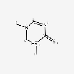 CN1C=NC(=S)[SH](C)C1